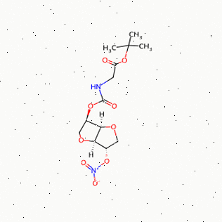 CC(C)(C)OC(=O)CNC(=O)O[C@@H]1CO[C@H]2[C@@H]1OC[C@@H]2O[N+](=O)[O-]